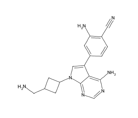 N#Cc1ccc(-c2cn(C3CC(CN)C3)c3ncnc(N)c23)cc1N